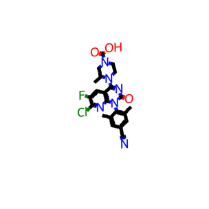 Cc1cc(C#N)cc(C)c1-n1c(=O)nc(N2CCN(C(=O)O)CC2C)c2cc(F)c(Cl)nc21